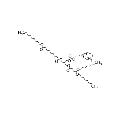 CCCCCCC=CCOC(=O)CCCCCCCC(=O)OCC(COC(=O)CCC(OCCCCCCCC)OCCCCCCCC)COC(=O)OCCCN(CC)CC